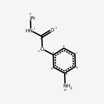 CC(C)NC(=O)Oc1cccc(N)c1